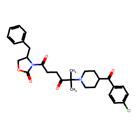 CC(C)(C(=O)CCC(=O)N1C(=O)OCC1Cc1ccccc1)N1CCC(C(=O)c2ccc(Cl)cc2)CC1